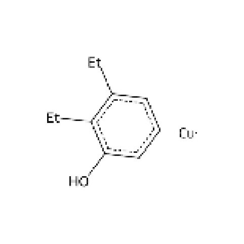 CCc1cccc(O)c1CC.[Cu]